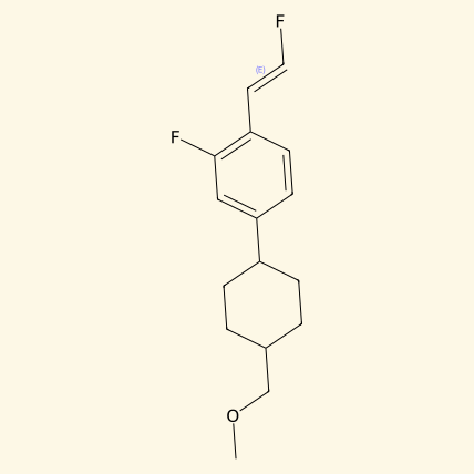 COCC1CCC(c2ccc(/C=C/F)c(F)c2)CC1